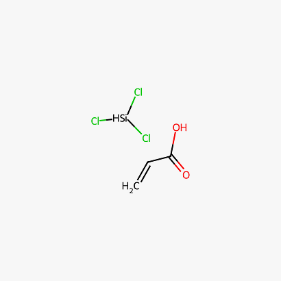 C=CC(=O)O.Cl[SiH](Cl)Cl